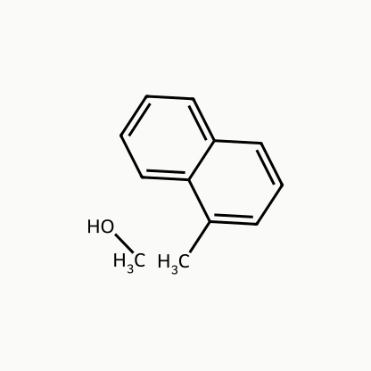 CO.Cc1cccc2ccccc12